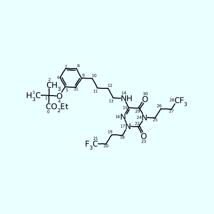 CCOC(=O)C(C)(C)Oc1cccc(CCCCNc2nn(CCCC(F)(F)F)c(=O)n(CCCC(F)(F)F)c2=O)c1